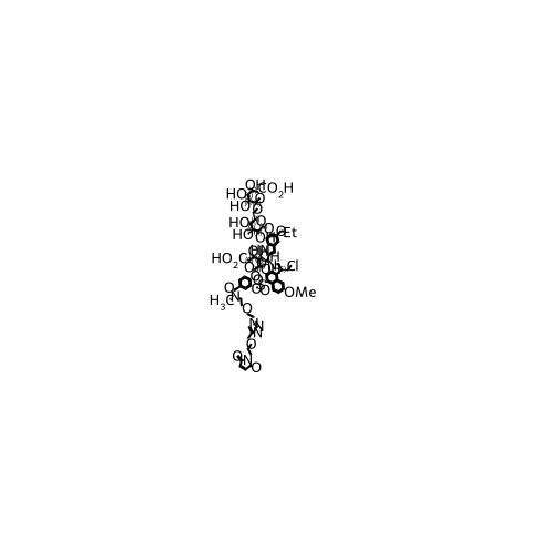 CCOc1cc2cc(C(=O)N3C[C@@H](CCl)c4c3cc(S(=O)(=O)Oc3cc(C(=O)N(C)CCOCCn5cc(COCCN6C(=O)C=CC6=O)nn5)ccc3O[C@@H]3O[C@H](C(=O)O)[C@@H](O)[C@H](O)[C@H]3O)c3ccc(OC)cc43)[nH]c2cc1O[C@@H]1O[C@H](CO[C@@H]2OC(C(=O)O)[C@@H](O)[C@H](O)[C@H]2O)[C@H](O)[C@H](O)[C@H]1O